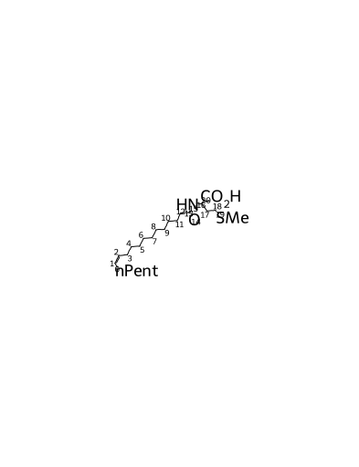 CCCCC/C=C\CCCCCCCCCCC(=O)NC(CCSC)C(=O)O